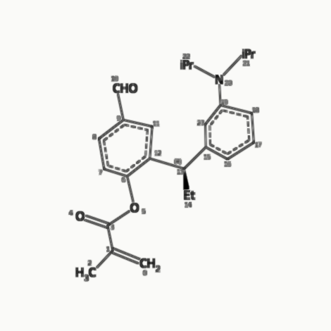 C=C(C)C(=O)Oc1ccc(C=O)cc1[C@H](CC)c1cccc(N(C(C)C)C(C)C)c1